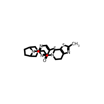 Cc1nc2c(s1)CN(C(=O)CN1CC3CCC(C1)N3c1ncc(F)cn1)CC2